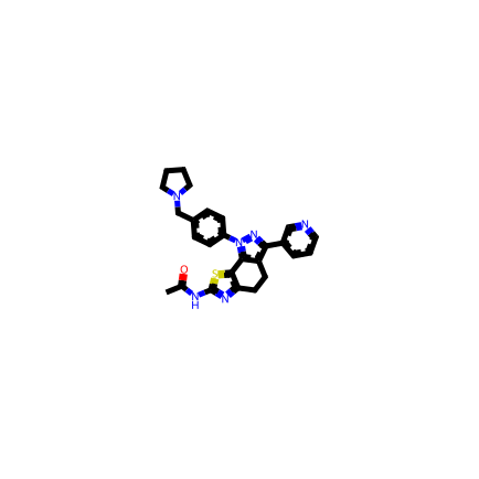 CC(=O)Nc1nc2c(s1)-c1c(c(-c3cccnc3)nn1-c1ccc(CN3CCCC3)cc1)CC2